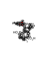 COC1(O[C@@H]2[C@@H](OC(C)=O)[C@]3(C)[C@@]4(COC(C)=O)C[C@H](OC(=O)CC(C)C)C(C)=C[C@H]4O[C@H]2[C@@]32CO2)CCC(NC(=O)CN2C(=O)CC(SC[C@@H](NC(=O)[C@@H](CC(=O)O)NC(=O)[C@H](CN)NC(=O)CC[C@@H](NC(=O)c3ccc(NCc4cnc5nc(N)[nH]c(=O)c5n4)cc3)C(=O)O)C(=O)O)C2=O)CC1